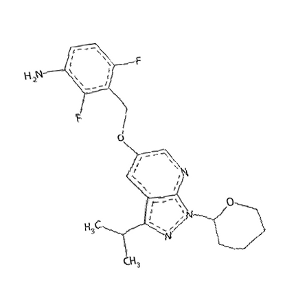 CC(C)c1nn(C2CCCCO2)c2ncc(OCc3c(F)ccc(N)c3F)cc12